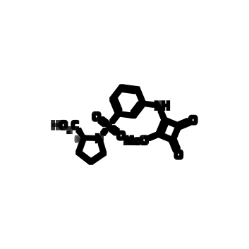 COc1c(Nc2cccc(S(=O)(=O)N3CCC[C@H]3C(=O)O)c2)c(=O)c1=O